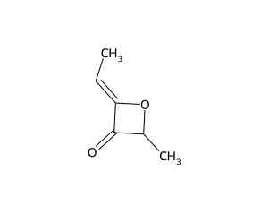 CC=C1OC(C)C1=O